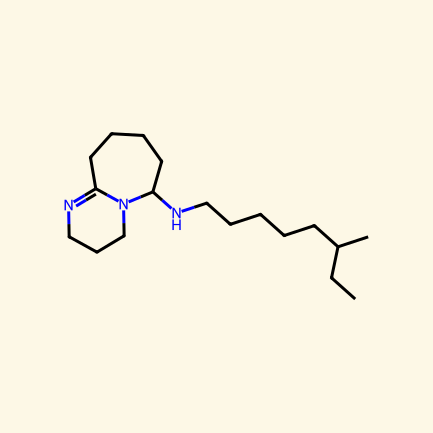 CCC(C)CCCCCNC1CCCCC2=NCCCN21